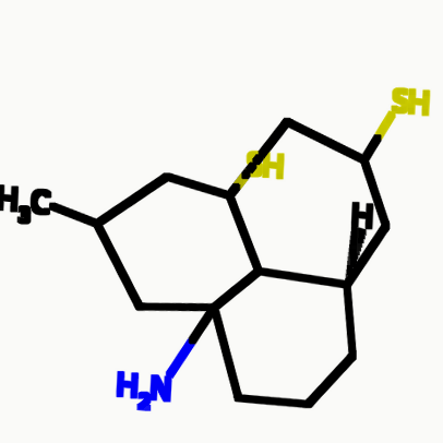 CC1CC2(N)CCC[C@@H]3CC(S)CC(S)(C1)C32